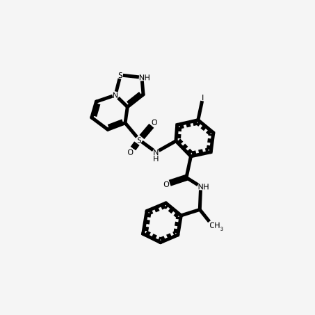 CC(NC(=O)c1ccc(I)cc1NS(=O)(=O)C1=CC=CN2SNC=C12)c1ccccc1